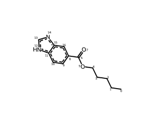 CCCCCOC(=O)c1ccc2[nH]cnc2c1